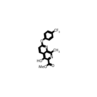 COC(=O)c1nc(C)c2nc(Oc3ccc(C(F)(F)F)cc3)ccc2c1O